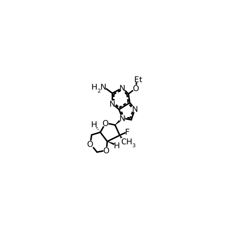 CCOc1nc(N)nc2c1ncn2[C@@H]1O[C@@H]2COCO[C@H]2[C@@]1(C)F